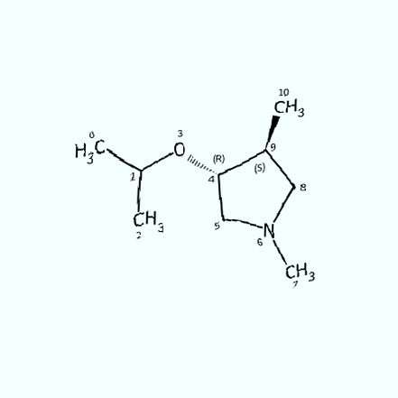 CC(C)O[C@H]1CN(C)C[C@@H]1C